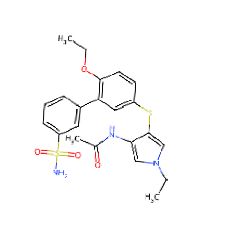 CCOc1ccc(Sc2cn(CC)cc2NC(C)=O)cc1-c1cccc(S(N)(=O)=O)c1